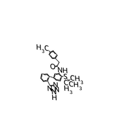 Cc1ccc(CC(=O)Nc2cc(-c3ccccc3-c3nn[nH]n3)ccc2SC(C)(C)C)cc1